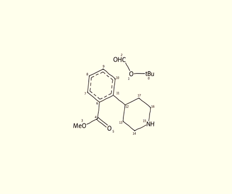 CC(C)(C)OC=O.COC(=O)c1ccccc1C1CCNCC1